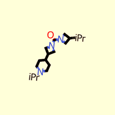 CC(C)C1CN(C(=O)N2CC(C3CCN(C(C)C)CC3)C2)C1